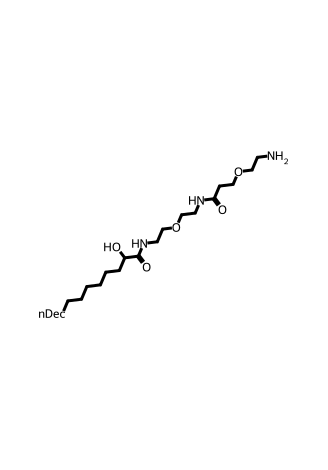 CCCCCCCCCCCCCCCCC(O)C(=O)NCCOCCNC(=O)CCOCCN